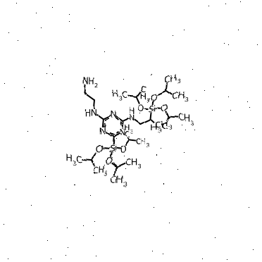 CC(C)O[Si](OC(C)C)(OC(C)C)c1nc(NCCN)nc(NCC(C)[Si](OC(C)C)(OC(C)C)OC(C)C)n1